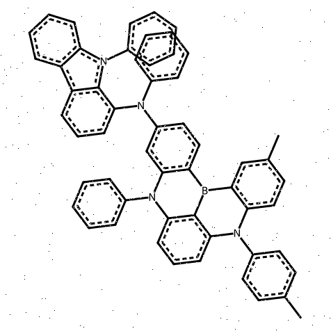 Cc1ccc(N2c3ccc(C)cc3B3c4ccc(N(c5ccccc5)c5cccc6c7ccccc7n(-c7ccccc7)c56)cc4N(c4ccccc4)c4cccc2c43)cc1